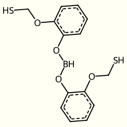 SCOc1ccccc1OBOc1ccccc1OCS